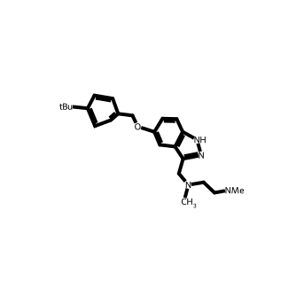 CNCCN(C)Cc1n[nH]c2ccc(OCc3ccc(C(C)(C)C)cc3)cc12